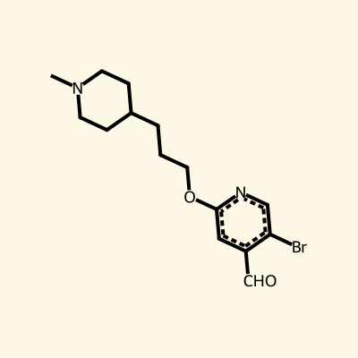 CN1CCC(CCCOc2cc(C=O)c(Br)cn2)CC1